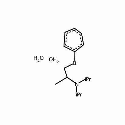 CC(C)N(C(C)C)C(C)C[B]c1ccccc1.O.O